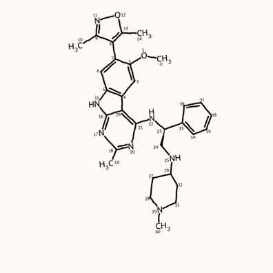 COc1cc2c(cc1-c1c(C)noc1C)[nH]c1nc(C)nc(N[C@H](CNC3CCN(C)CC3)c3ccccc3)c12